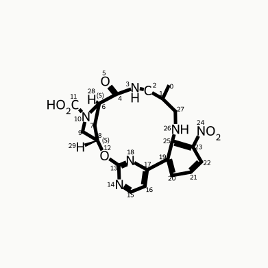 CC1CNC(=O)[C@@H]2C[C@@H](CN2C(=O)O)Oc2nccc(n2)-c2cccc([N+](=O)[O-])c2NC1